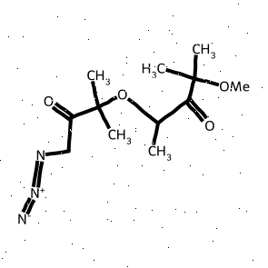 COC(C)(C)C(=O)C(C)OC(C)(C)C(=O)CN=[N+]=[N-]